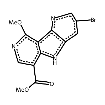 COC(=O)c1cnc(OC)c2c1[nH]c1cc(Br)cnc12